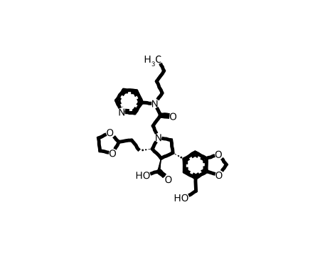 CCCCN(C(=O)CN1C[C@H](c2cc(CO)c3c(c2)OCO3)[C@@H](C(=O)O)[C@@H]1CCC1OCCO1)c1cccnc1